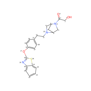 O=C(CO)N1CC2CC1CN2CCc1ccc(Oc2nc3ccccc3s2)cc1